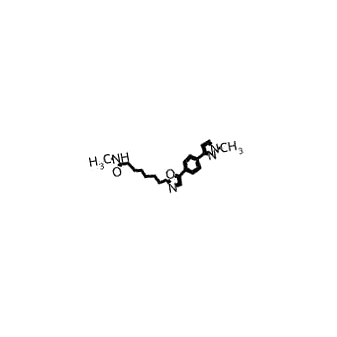 CNC(=O)CCCCCCc1ncc(-c2ccc(-c3ccn(C)n3)cc2)o1